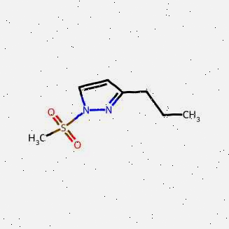 CC[CH]c1ccn(S(C)(=O)=O)n1